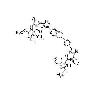 COC(=O)N[C@H](C(=O)N1CC2(CC2)C[C@H]1c1ncc(-c2ccc3cc(-c4ccc(-c5cnc(C6C7CCC(C7)N6C(=O)[C@@H](NC(=O)OC)C6CCOCC6)[nH]5)cc4)ccc3c2)[nH]1)C(C)C